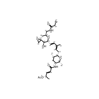 CC(=O)O[C@@H](C)C=CC(=O)N[C@@H]1C[C@H](C)[C@H](CC=C(C)C=C[C@H]2O[C@H](CNC(=O)CBr)C[C@@]3(CO3)[C@@H]2O)O[C@@H]1C